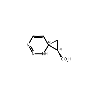 O=C(O)[C@@H]1C[C@]12C=CN=NN2